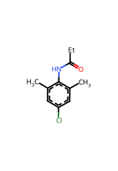 CCC(=O)Nc1c(C)cc(Cl)cc1C